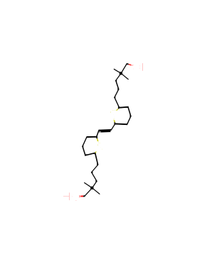 CC(C)(CO)CCCC1CCCC(C=CC2CCCC(CCCC(C)(C)CO)S2)S1